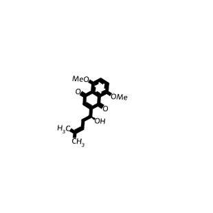 COc1ccc(OC)c2c1C(=O)C=C([C@@H](O)CC=C(C)C)C2=O